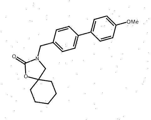 COc1ccc(-c2ccc(CN3CC4(CCCCC4)OC3=O)cc2)cc1